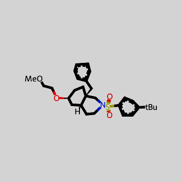 COCCO[C@H]1CC[C@]2(Cc3ccccc3)CN(S(=O)(=O)c3ccc(C(C)(C)C)cc3)CC[C@H]2C1